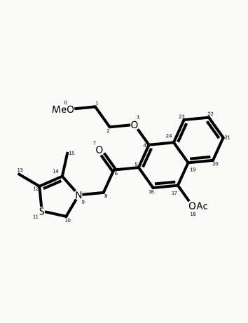 COCCOc1c(C(=O)CN2CSC(C)=C2C)cc(OC(C)=O)c2ccccc12